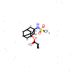 C=CC(=O)OC12CC3CC(CC(NS(=O)(=O)C(F)(F)F)(C3)C1)C2